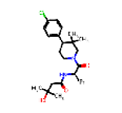 CC(C)[C@@H](NC(=O)CC(C)(C)O)C(=O)N1CCC(c2ccc(Cl)cc2)C(C)(C)C1